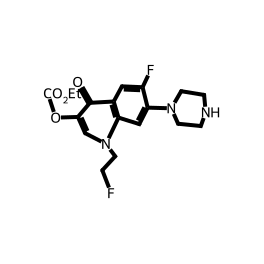 CCOC(=O)Oc1cn(CCF)c2cc(N3CCNCC3)c(F)cc2c1=O